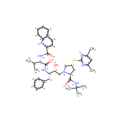 Cc1cc(C)nc(S[C@@H]2C[C@@H](C(=O)NC(C)(C)C)N(C[C@@H](O)[C@H](Cc3ccccc3)NC(=O)[C@@H](NC(=O)c3ccc4ccccc4n3)C(C)C)C2)n1